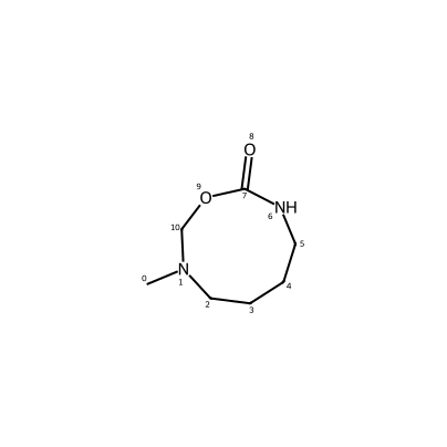 CN1CCCCNC(=O)OC1